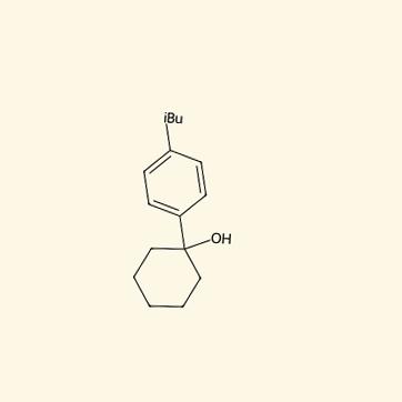 CCC(C)c1ccc(C2(O)CCCCC2)cc1